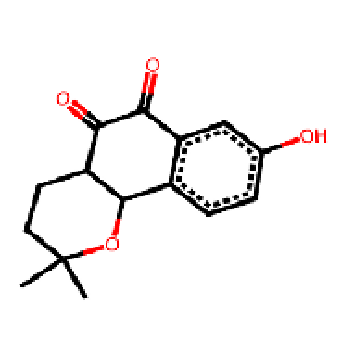 CC1(C)CCC2C(=O)C(=O)c3cc(O)ccc3C2O1